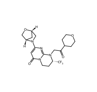 O=C(CN1c2nc(N3C[C@@H]4C[C@H]3CO4)cc(=O)n2CC[C@H]1C(F)(F)F)C1CCOCC1